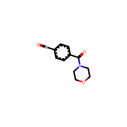 O=Bc1ccc(C(=O)N2CCOCC2)cc1